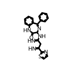 N=C(CC(=N)c1nccs1)NC1N=C(c2ccccc2)c2ccccc2NC1=O